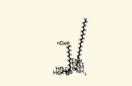 CCC(Br)(CC)C(=O)NC(N)=O.CCCCCCCCCCCCCCCCCCCC.CCCCCCCCCCCCCCCCCCCCCC(=O)OC(=O)C(O)CO